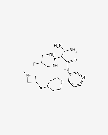 CN1CC(OC2CCN(c3ccncc3NC(=O)C(C(N)N)C3NCC(F)CN3)CC2)C1